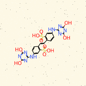 O=S(=O)(O)c1cc(Nc2nc(O)nc(O)n2)ccc1C=Cc1ccc(Nc2nc(O)nc(O)n2)cc1S(=O)(=O)O